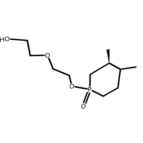 CC1CCP(=O)(OCCOCCO)C[C@H]1C